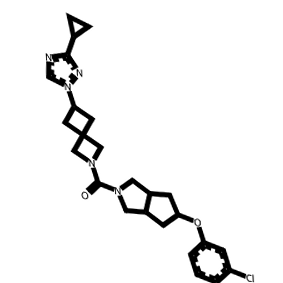 O=C(N1CC2CC(Oc3ccc(F)c(Cl)c3)CC2C1)N1CC2(CC(n3cnc(C4CC4)n3)C2)C1